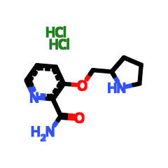 Cl.Cl.NC(=O)c1ncccc1OCC1CCCN1